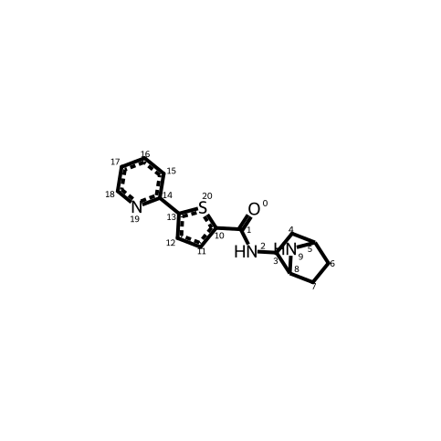 O=C(NC1CC2CCC1N2)c1ccc(-c2ccccn2)s1